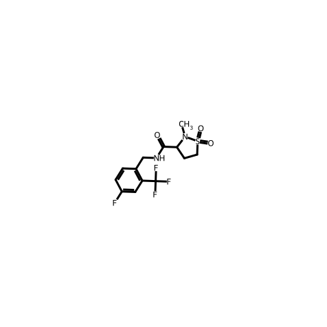 CN1C(C(=O)NCc2ccc(F)cc2C(F)(F)F)CCS1(=O)=O